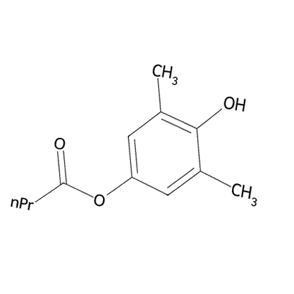 CCCC(=O)Oc1cc(C)c(O)c(C)c1